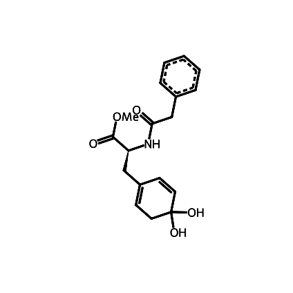 COC(=O)[C@H](CC1=CCC(O)(O)C=C1)NC(=O)Cc1ccccc1